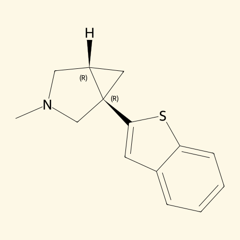 CN1C[C@@H]2C[C@]2(c2cc3ccccc3s2)C1